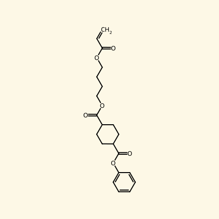 C=CC(=O)OCCCCOC(=O)C1CCC(C(=O)Oc2ccccc2)CC1